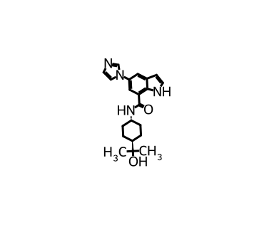 CC(C)(O)[C@H]1CC[C@H](NC(=O)c2cc(-n3ccnc3)cc3cc[nH]c23)CC1